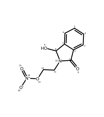 O=C1c2ccccc2C(O)N1CCO[N+](=O)[O-]